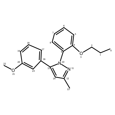 CCCOc1ccccc1-n1nc(C)cc1-c1cccc(OC)c1